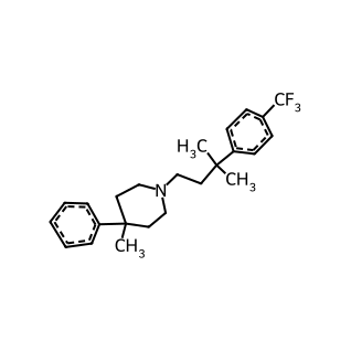 CC(C)(CCN1CCC(C)(c2ccccc2)CC1)c1ccc(C(F)(F)F)cc1